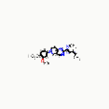 C=N/C(=C\C=C/C)c1ncc2c(n1)CCN(c1ccc(C(=O)O)c(OCCCC)c1)C2